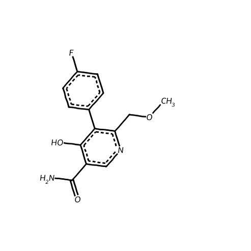 COCc1ncc(C(N)=O)c(O)c1-c1ccc(F)cc1